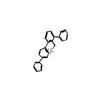 CCc1c(-c2ccc(-c3ccccc3)cc2)[c]ccc1-c1ccccc1